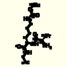 CC(=O)CNC(=O)[C@H](CCCCNC(=O)OC(C)(C)C)NC(=O)[C@@H](N)C(C)C